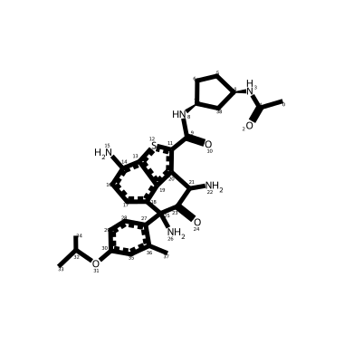 CC(=O)N[C@@H]1CC[C@H](NC(=O)c2sc3c(N)ccc4c3c2C(N)C(=O)C4(N)c2ccc(OC(C)C)cc2C)C1